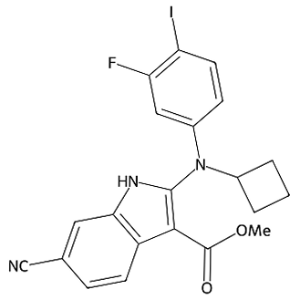 COC(=O)c1c(N(c2ccc(I)c(F)c2)C2CCC2)[nH]c2cc(C#N)ccc12